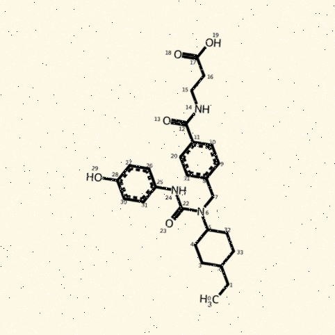 CCC1CCC(N(Cc2ccc(C(=O)NCCC(=O)O)cc2)C(=O)Nc2ccc(O)cc2)CC1